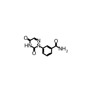 NC(=O)c1cccc(-n2ncc(=O)[nH]c2=O)c1